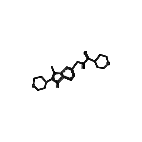 Cc1c(C2CCOCC2)[nH]c2ccc(CNC(=O)C3CCOCC3)cc12